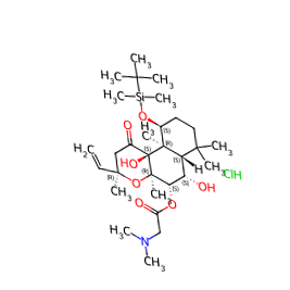 C=C[C@@]1(C)CC(=O)[C@]2(O)[C@@]3(C)[C@@H](O[Si](C)(C)C(C)(C)C)CCC(C)(C)[C@@H]3[C@H](O)[C@H](OC(=O)CN(C)C)[C@@]2(C)O1.Cl